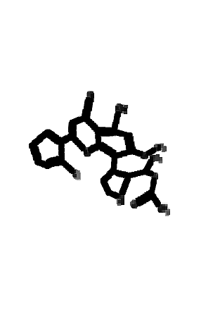 COc1cc(O)c2c(=O)cc(-c3ccccc3Cl)oc2c1C1CCNC1C(C)OC(C)=O